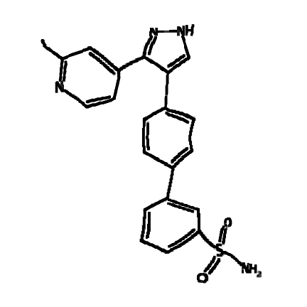 Cc1cc(-c2n[nH]cc2-c2ccc(-c3cccc(S(N)(=O)=O)c3)cc2)ccn1